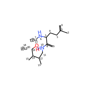 C=C(C)CCC(NC(C)(C)C)C(=C)NCC(C)C(C)C(O)[C@H](C)CC